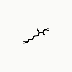 O=CCCCCC(I)C(I)C=O